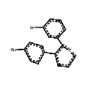 CC(C)(C)c1ccc(-c2ccccc2-c2cccc(Br)c2)cc1